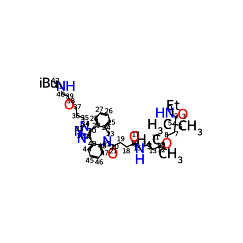 CCNC(=O)C(C)(C)CCOC(C)(C)CCNC(=O)CCC(=O)N1Cc2ccccc2-c2c(nnn2CCCOCCNC(C)CC)-c2ccccc21